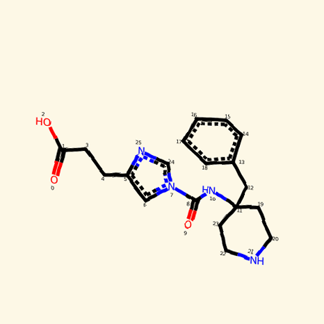 O=C(O)CCc1cn(C(=O)NC2(Cc3ccccc3)CCNCC2)cn1